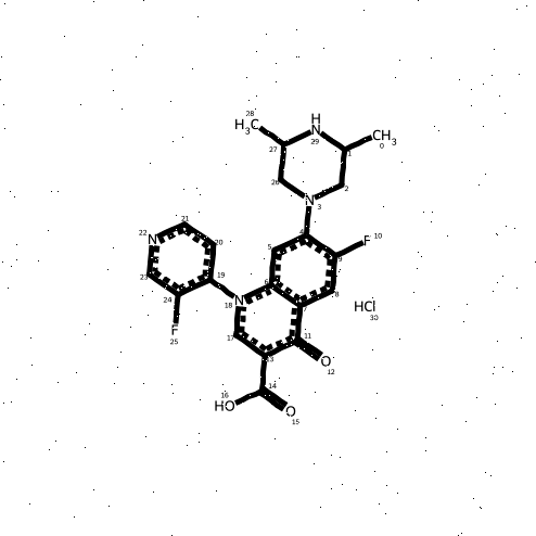 CC1CN(c2cc3c(cc2F)c(=O)c(C(=O)O)cn3-c2ccncc2F)CC(C)N1.Cl